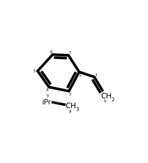 C=Cc1ccccc1.CC(C)C